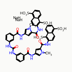 Cn1cc(NC(=O)c2cccc(NC(=O)Nc3cccc(C(=O)Nc4cc(C(=O)Nc5ccc6c(S(=O)(=O)O)cccc6c5S(=O)(=O)O)n(C)c4)c3)c2)cc1C(=O)Nc1ccc2c(S(=O)(=O)O)cccc2c1S(=O)(=O)O.[NaH].[NaH]